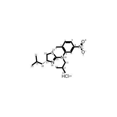 Cc1ccc([N+](=O)[O-])cc1N(CC(C)C)C1=N[C@H](CC(C)C)CS1.Cl